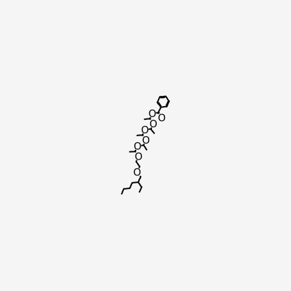 CCCCC(CC)COCCOC(C)OC(C)OC(C)OC(C)OC(C)OC(=O)c1ccccc1